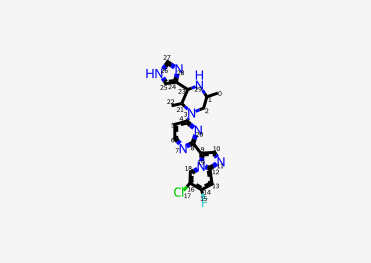 CC1CN(c2ccnc(-c3cnc4cc(F)c(Cl)cn34)n2)C(C)C(c2c[nH]cn2)N1